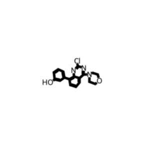 Oc1cccc(-c2cccc3c(N4CCOCC4)nc(Cl)nc23)c1